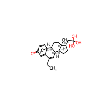 CCC1=C[C@H]2[C@@H]3CC[C@H](CC(O)(O)O)[C@@]3(C)CC[C@@H]2[C@@]2(C)C=CC(=O)C=C12